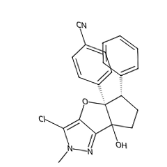 Cn1nc2c(c1Cl)O[C@@]1(c3ccc(C#N)cc3)[C@H](c3ccccc3)CCC21O